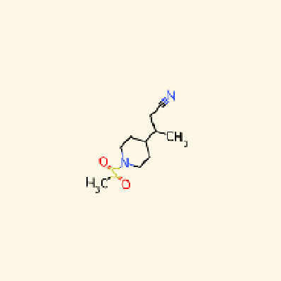 CC(CC#N)C1CCN(S(C)(=O)=O)CC1